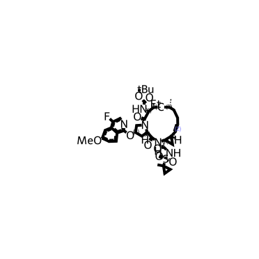 CC[C@@H]1C[C@H](C)CC/C=C\[C@@H]2C[C@@]2(C(=O)NS(=O)(=O)C2(C)CC2)NC(=O)[C@@H]2C[C@@H](Oc3ncc(F)c4cc(OC)ccc34)CN2C(=O)[C@H]1NC(=O)OC(C)(C)C